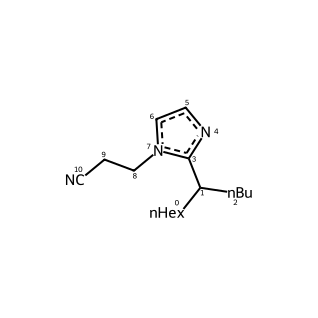 CCCCCCC(CCCC)c1nccn1CCC#N